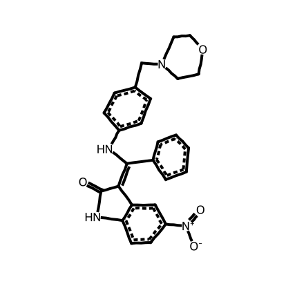 O=C1Nc2ccc([N+](=O)[O-])cc2/C1=C(/Nc1ccc(CN2CCOCC2)cc1)c1ccccc1